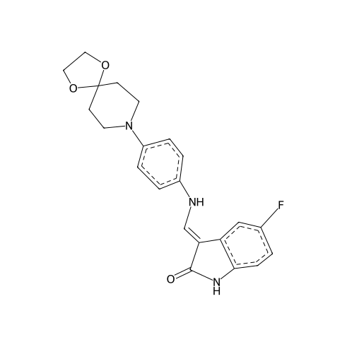 O=C1Nc2ccc(F)cc2/C1=C\Nc1ccc(N2CCC3(CC2)OCCO3)cc1